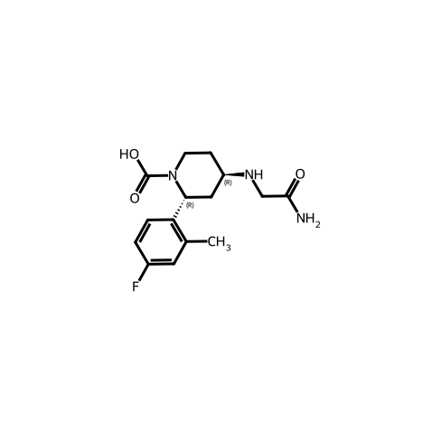 Cc1cc(F)ccc1[C@H]1C[C@H](NCC(N)=O)CCN1C(=O)O